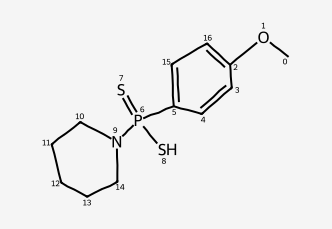 COc1ccc(P(=S)(S)N2CCCCC2)cc1